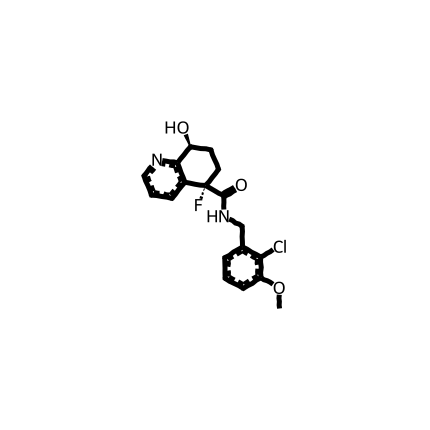 COc1cccc(CNC(=O)[C@]2(F)CC[C@H](O)c3ncccc32)c1Cl